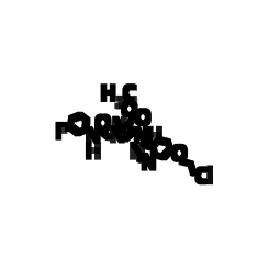 CCOC(=O)c1nn(CC(=O)Nc2cccc(F)c2)cc1Nc1ncnc2cc(OCCCCl)ccc12